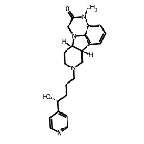 CN1C(=O)CN2c3c(cccc31)[C@@H]1CN(CCC[C@@H](O)c3ccncc3)CC[C@@H]12